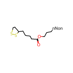 CCCCCCCCCCCCOC(=O)CCCCC1CCSS1